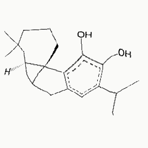 CC(C)c1cc2c(c(O)c1O)[C@@]13CCCC(C)(C)[C@@H]1C3C2